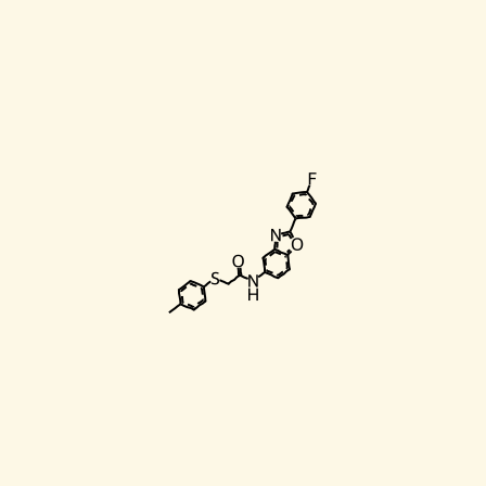 Cc1ccc(SCC(=O)Nc2ccc3oc(-c4ccc(F)cc4)nc3c2)cc1